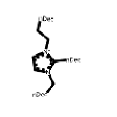 CCCCCCCCCCCC[n+]1ccn(CCCCCCCCCCC)c1CCCCCCCCCC